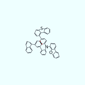 c1cc(-c2ccccc2N(c2ccc(-c3cccc4sc5ccccc5c34)cc2)c2cccc3c2oc2ccccc23)cc(-c2cccc3ccccc23)c1